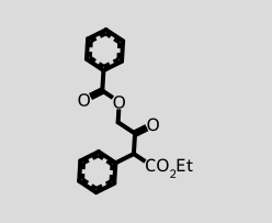 CCOC(=O)C(C(=O)COC(=O)c1ccccc1)c1ccccc1